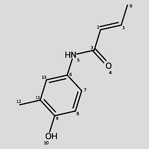 C/C=C/C(=O)Nc1ccc(O)c(C)c1